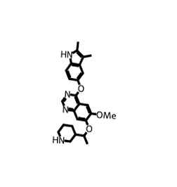 COc1cc2c(Oc3ccc4[nH]c(C)c(C)c4c3)ncnc2cc1OC(C)C1CCCNC1